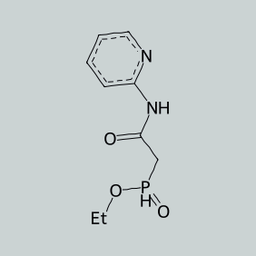 CCO[PH](=O)CC(=O)Nc1ccccn1